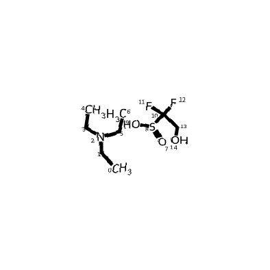 CCN(CC)CC.O=S(O)C(F)(F)CO